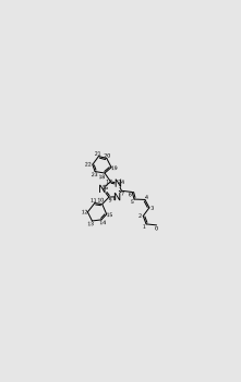 C\C=C/C=C\C=C\c1nc(C2=CCCC=C2)nc(-c2ccccc2)n1